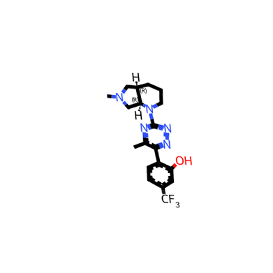 Cc1nc(N2CCC[C@@H]3CN(C)C[C@@H]32)nnc1-c1ccc(C(F)(F)F)cc1O